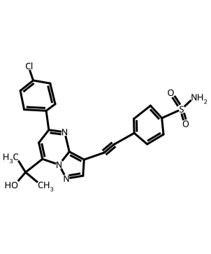 CC(C)(O)c1cc(-c2ccc(Cl)cc2)nc2c(C#Cc3ccc(S(N)(=O)=O)cc3)cnn12